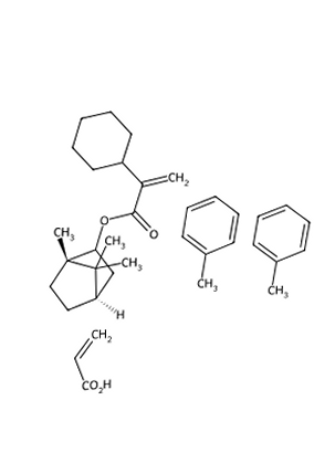 C=C(C(=O)OC1C[C@H]2CC[C@@]1(C)C2(C)C)C1CCCCC1.C=CC(=O)O.Cc1ccccc1.Cc1ccccc1